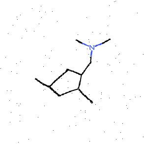 CC1CC(C)C(CN(C)C)C1